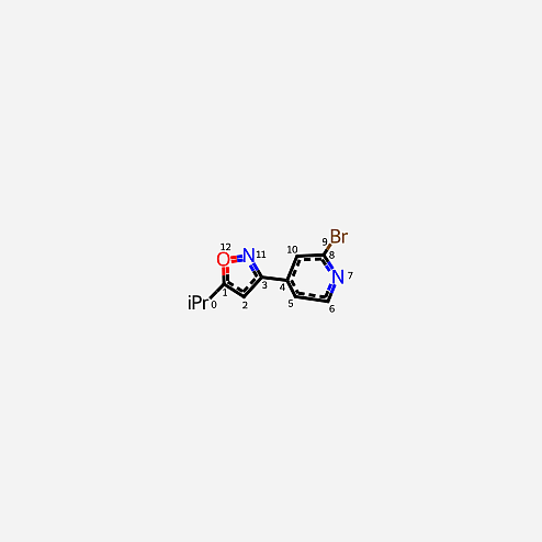 CC(C)c1cc(-c2ccnc(Br)c2)no1